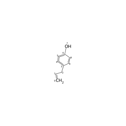 C=CCC1=C=C=C(O)C=C1